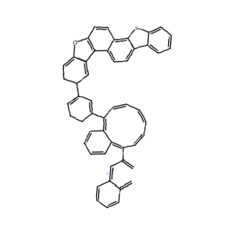 C=C(/C=c1/ccccc1=C)c1ccccccc(C2=CC(C3C=c4c(oc5ccc6c(ccc7c8ccccc8sc76)c45)=CC3)=CCC2)c2ccccc12